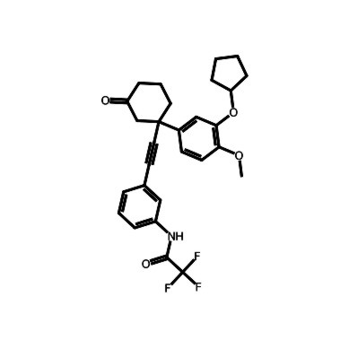 COc1ccc(C2(C#Cc3cccc(NC(=O)C(F)(F)F)c3)CCCC(=O)C2)cc1OC1CCCC1